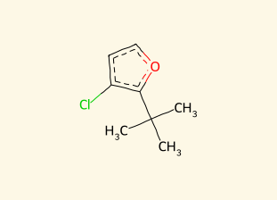 CC(C)(C)c1occc1Cl